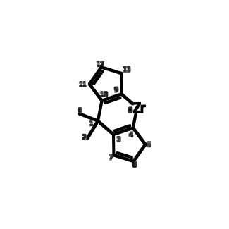 CC1(C)C2=[C](CC=C2)[Zr][C]2=C1C=CC2